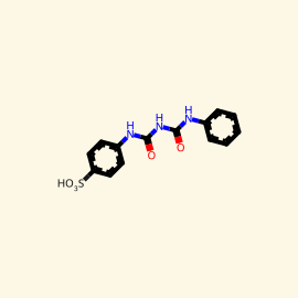 O=C(NC(=O)Nc1ccc(S(=O)(=O)O)cc1)Nc1ccccc1